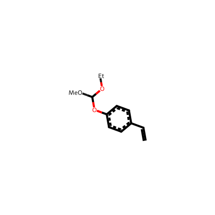 C=Cc1ccc(OC(OC)OCC)cc1